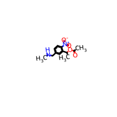 CNCc1ccc([N+](=O)[O-])c(C(C)OC(C)=O)c1